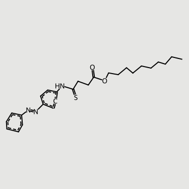 CCCCCCCCCCOC(=O)CCC(=S)Nc1ccc(N=Nc2ccccc2)cc1